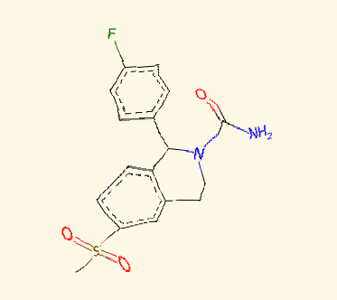 CS(=O)(=O)c1ccc2c(c1)CCN(C(N)=O)C2c1ccc(F)cc1